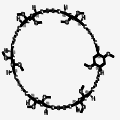 COC1C[C@@H]2CSSC[C@H]3CC(OC)[C@@H](CSSC[C@H]4CC(OC)[C@@H](CSSC[C@H]5CC(OC)[C@@H](CSSC[C@H]6CC(OC)[C@@H](CSSC[C@H]7CC(OC)[C@@H](CSSC[C@H]1CC2OC)CC7OC)CC6OC)CC5OC)CC4OC)CC3OC